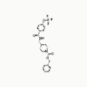 O=C(NCC1CCN(C(=O)OCc2ccccc2)CC1)c1ccc(OC(F)(F)F)cc1